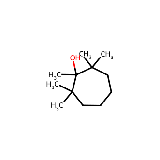 CC1(C)CCCCC(C)(C)C1(C)O